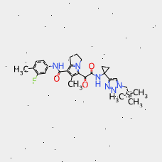 Cc1ccc(NC(=O)c2c(C)c(C(=O)C(=O)NC3(c4cn(C[Si](C)(C)C)nn4)CC3)n3c2CCC3)cc1F